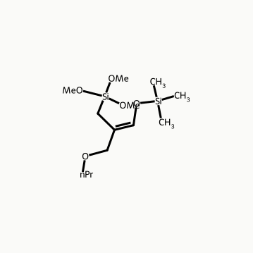 CCCOCC(=CO[Si](C)(C)C)C[Si](OC)(OC)OC